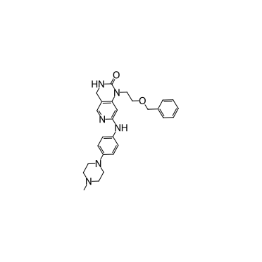 CN1CCN(c2ccc(Nc3cc4c(cn3)CNC(=O)N4CCOCc3ccccc3)cc2)CC1